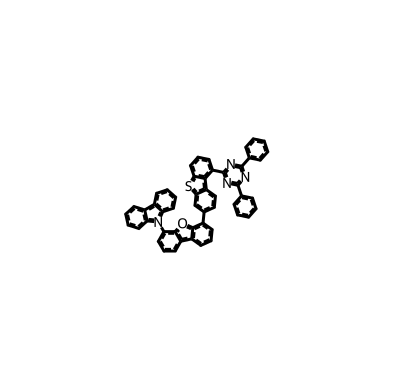 c1ccc(-c2nc(-c3ccccc3)nc(-c3cccc4sc5cc(-c6cccc7c6oc6c(-n8c9ccccc9c9ccccc98)cccc67)ccc5c34)n2)cc1